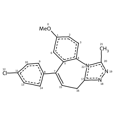 COc1ccc2c(c1)C(c1ccc(Cl)cc1)=CCc1nnc(C)n1-2